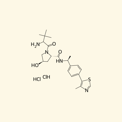 Cc1ncsc1-c1ccc([C@H](C)NC(=O)[C@@H]2C[C@@H](O)CN2C(=O)C(N)C(C)(C)C)cc1.Cl.Cl